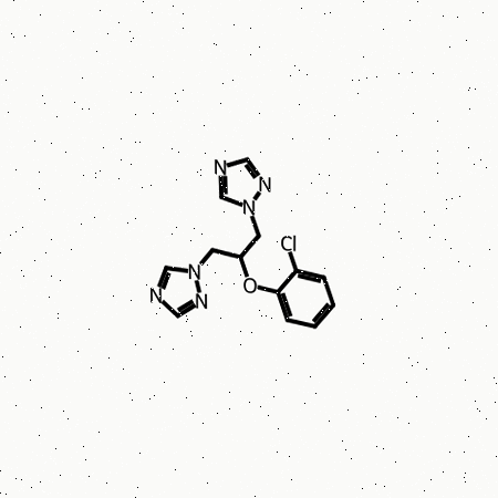 Clc1ccccc1OC(Cn1cncn1)Cn1cncn1